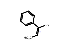 CCC/C(=C/C(=O)O)c1ccccc1